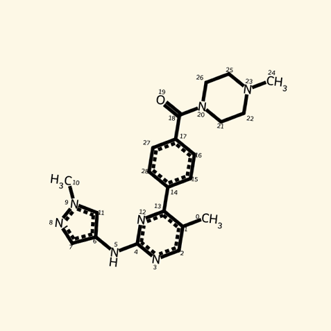 Cc1cnc(Nc2cnn(C)c2)nc1-c1ccc(C(=O)N2CCN(C)CC2)cc1